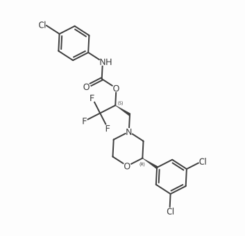 O=C(Nc1ccc(Cl)cc1)O[C@@H](CN1CCO[C@H](c2cc(Cl)cc(Cl)c2)C1)C(F)(F)F